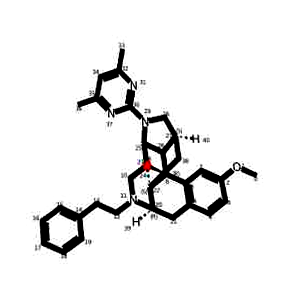 COc1ccc2c(c1)[C@]13CCN(CCc4ccccc4)[C@H](C2)[C@]12CCC1C3[C@@H](CN1c1nc(C)cc(C)n1)C2